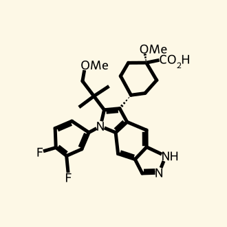 COCC(C)(C)c1c([C@H]2CC[C@](OC)(C(=O)O)CC2)c2cc3[nH]ncc3cc2n1-c1ccc(F)c(F)c1